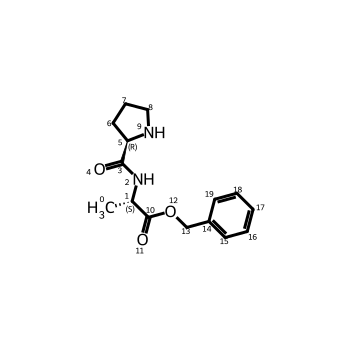 C[C@H](NC(=O)[C@H]1CCCN1)C(=O)OCc1ccccc1